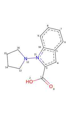 O=C(O)c1cc2ccccc2n1N1CCCC1